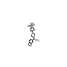 C[C@@H](c1ccc2c(c1)OCC2)N1CCN(c2ncc([S@](C)(=N)=O)cn2)CC1